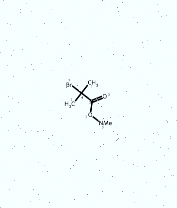 CNOC(=O)C(C)(C)Br